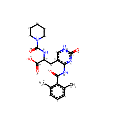 Cc1cccc(C)c1C(=O)Nc1nc(=O)[nH]cc1CC(NC(=O)N1CCCCC1)C(=O)O